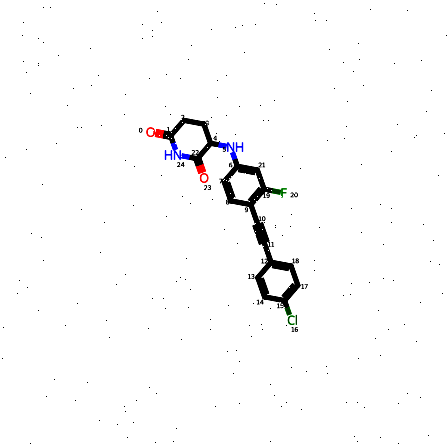 O=C1CCC(Nc2ccc(C#Cc3ccc(Cl)cc3)c(F)c2)C(=O)N1